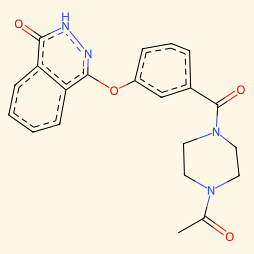 CC(=O)N1CCN(C(=O)c2cccc(Oc3n[nH]c(=O)c4ccccc34)c2)CC1